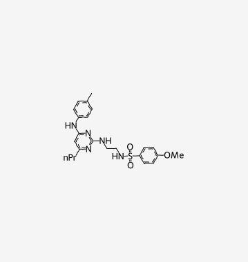 CCCc1cc(Nc2ccc(C)cc2)nc(NCCNS(=O)(=O)c2ccc(OC)cc2)n1